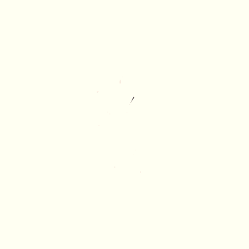 CC(C)C[C@@H](CCS(C)(=O)=O)C(=O)C(C)C